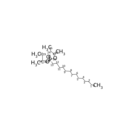 CCCCCCCCCCCCCCP(=O)(OC(C)CC)OC(C)CC